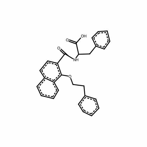 O=C(NC(Cc1ccccc1)C(=O)O)c1ccc2ccccc2c1OCCc1ccccc1